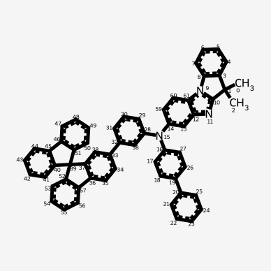 CC1(C)c2ccccc2-n2c1nc1cc(N(c3ccc(-c4ccccc4)cc3)c3cccc(-c4ccc5c(c4)C4(c6ccccc6-c6ccccc64)c4ccccc4-5)c3)ccc12